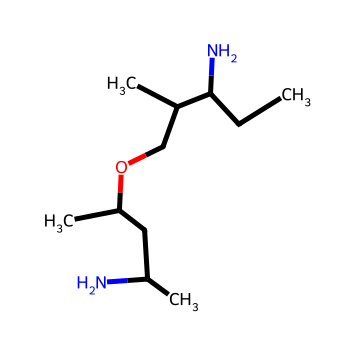 CCC(N)C(C)COC(C)CC(C)N